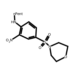 CCCCCNc1ccc(S(=O)(=O)N2CCOCC2)cc1[N+](=O)[O-]